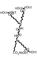 CCCCCCCCC(CCCCCCCC)OC(=O)CCCCCCCN(CCCCCCCC(=O)O)CCNC(=O)/C=C/C(=O)NCCN(CCCCCCCC(=O)OC(CCCCCCCC)CCCCCCCC)CCCCCCCC(=O)OC(CCCCCCCC)CCCCCCCC